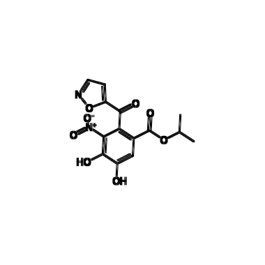 CC(C)OC(=O)c1cc(O)c(O)c([N+](=O)[O-])c1C(=O)c1ccno1